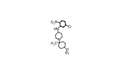 CCOC1CCC(C)(N2CCC(Nc3cc(Cl)ccc3[N+](=O)[O-])CC2)CC1